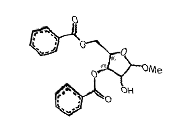 COC1O[C@H](COC(=O)c2ccccc2)[C@H](OC(=O)c2ccccc2)C1O